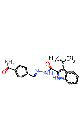 CC(C)c1c(C(=O)NN=Cc2ccc(C(N)=O)cc2)[nH]c2ccccc12